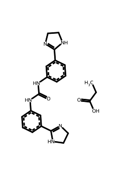 CCC(=O)O.O=C(Nc1cccc(C2=NCCN2)c1)Nc1cccc(C2=NCCN2)c1